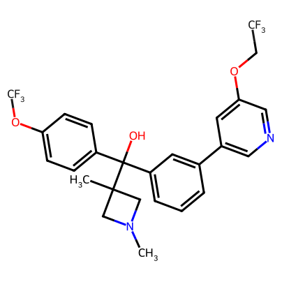 CN1CC(C)(C(O)(c2ccc(OC(F)(F)F)cc2)c2cccc(-c3cncc(OCC(F)(F)F)c3)c2)C1